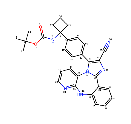 CC(C)(C)OC(=O)NC1(c2ccc(-c3c(C#N)nc4n3-c3cccnc3Nc3ccccc3-4)cc2)CCC1